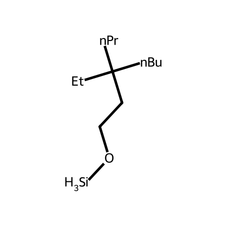 CCCCC(CC)(CCC)CCO[SiH3]